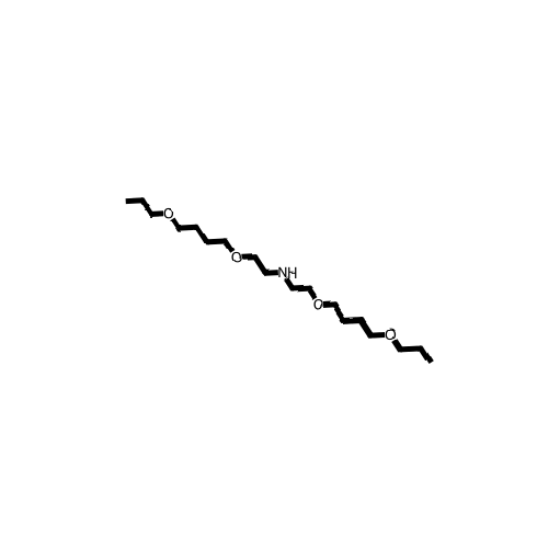 CCCOCCCCOCCNCCOCCCCOCCC